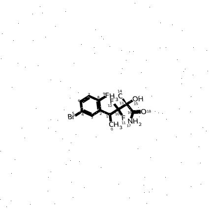 C[C](c1cc(Br)ccc1F)C(F)(F)[C@](C)(O)C(N)=O